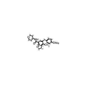 COc1ccc(Cc2cc(C(=O)NC3CCOCC3)c3c(c2C)CCO3)cn1